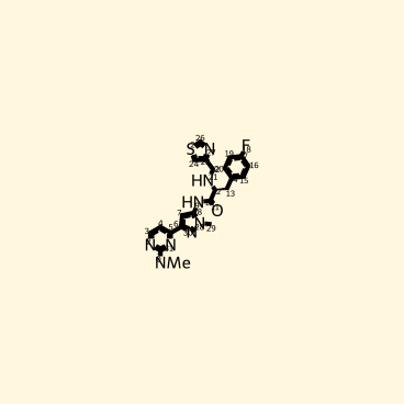 CNc1nccc(-c2cc(NC(=O)[C@H](Cc3ccc(F)cc3)NCc3cscn3)n(C)n2)n1